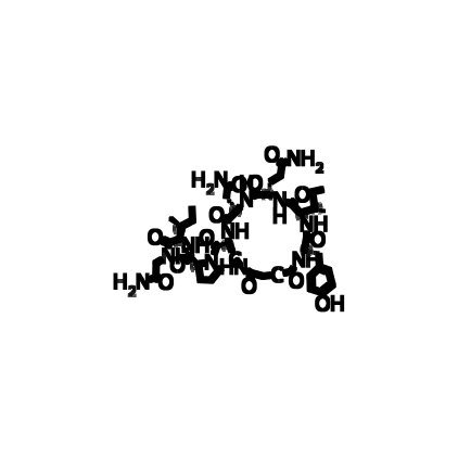 CC[C@H](C)[C@@H]1NC(=O)[C@H](Cc2ccc(O)cc2)NC(=O)CCC(=O)NC[C@@H](C(=O)N2CCC[C@H]2C(=O)N[C@H](C(=O)NCC(N)=O)[C@@H](C)CC)NC(=O)[C@H](CC(N)=O)NC(=O)[C@H](CCC(N)=O)NC1=O